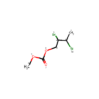 COC(=O)OCC(Br)C(C)Br